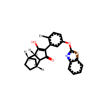 CCc1ccc(Oc2nc3ccccc3s2)cc1C1=C(O)[C@@H]2C(C1=O)[C@@H]1CC[C@H]2C1